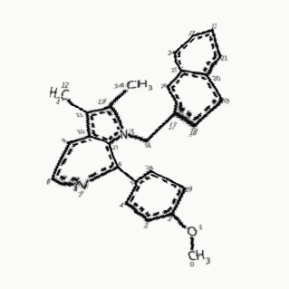 COc1ccc(-c2nccc3c(C)c(C)n(Cc4ccc5ccccc5c4)c23)cc1